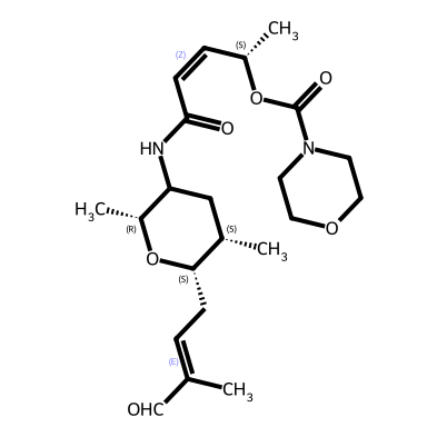 C/C(C=O)=C\C[C@@H]1O[C@H](C)C(NC(=O)/C=C\[C@H](C)OC(=O)N2CCOCC2)C[C@@H]1C